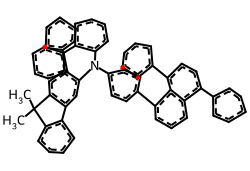 CC1(C)c2ccccc2-c2cc(N(c3ccc(-c4cccc5c(-c6ccccc6)ccc(-c6ccccc6)c45)cc3)c3ccccc3-c3ccccc3)c(-c3ccccc3)cc21